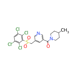 CC1CCN(C(=O)c2cncc(CS(=O)(=O)c3c(Cl)c(Cl)cc(Cl)c3Cl)c2)CC1